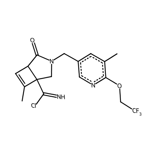 CC1=CC2C(=O)N(Cc3cnc(OCC(F)(F)F)c(C)c3)CC12C(=N)Cl